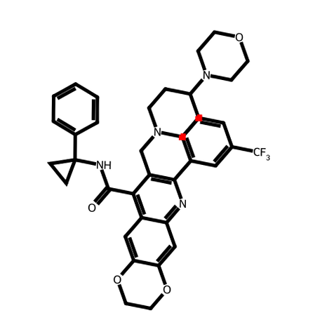 O=C(NC1(c2ccccc2)CC1)c1c(CN2CCC(N3CCOCC3)CC2)c(-c2cccc(C(F)(F)F)c2)nc2cc3c(cc12)OCCO3